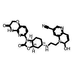 N#Cc1cnc2c(c1)N(CCN[C@H]1CC[C@H]3[C@@H](C1)OC(=O)N3c1ccc3c(n1)NC(=O)CO3)C(O)C=C2